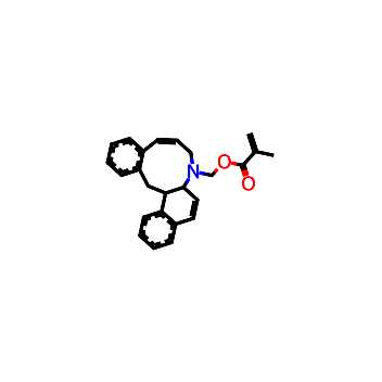 C=C(C)C(=O)OCN1C/C=C\c2ccccc2CC2c3ccccc3C=CC21